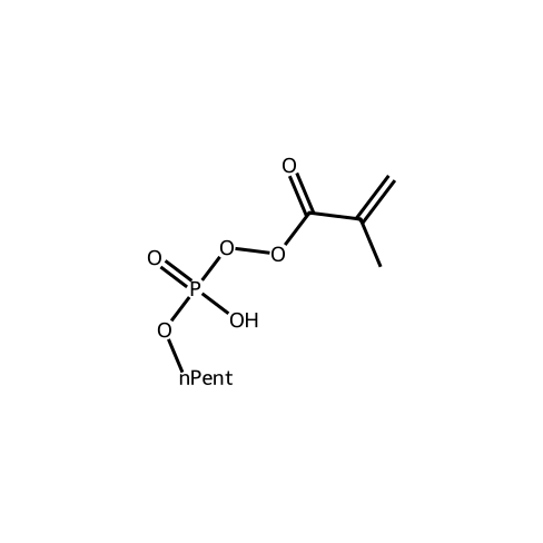 C=C(C)C(=O)OOP(=O)(O)OCCCCC